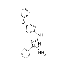 Nc1nc(Nc2ccc(Oc3ccccc3)cc2)nn1-c1ccccc1